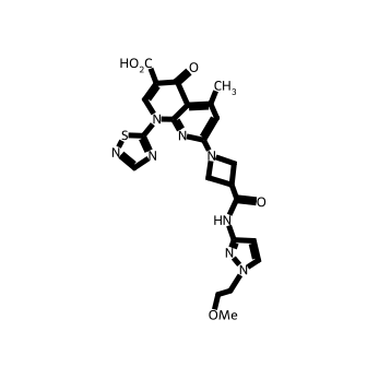 COCCn1ccc(NC(=O)C2CN(c3cc(C)c4c(=O)c(C(=O)O)cn(-c5ncns5)c4n3)C2)n1